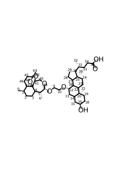 C[C@@H]1CCC2[C@@H](C)[C@@H](OCCO[C@H]3CC4C[C@H](O)CC[C@]4(C)C4CC[C@@]5(C)C(CC[C@@H]5[C@H](C)CCC(=O)O)C43)OCC3O[C@@]4(C)CCC1[C@]32O4